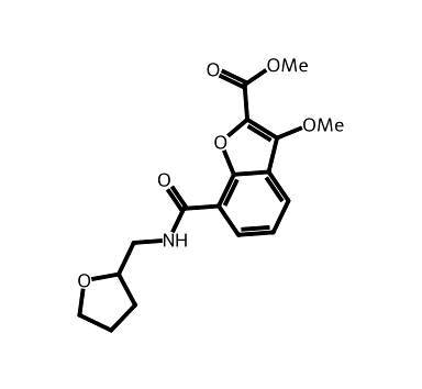 COC(=O)c1oc2c(C(=O)NCC3CCCO3)cccc2c1OC